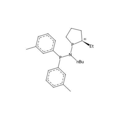 CCCCN(P(c1cccc(C)c1)c1cccc(C)c1)P1CCC[C@H]1CC